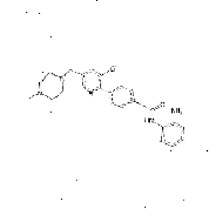 CN1CCN(Cc2cnc(-c3ccc(C(=O)Nc4ccccc4N)cc3)c(Cl)c2)CC1